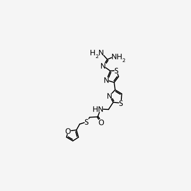 NC(N)=Nc1nc(-c2csc(CNC(=O)CSCc3ccco3)n2)cs1